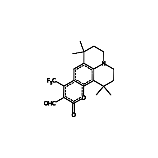 CC1(C)CCN2CCC(C)(C)c3c2c1cc1c(C(F)(F)F)c(C=O)c(=O)oc31